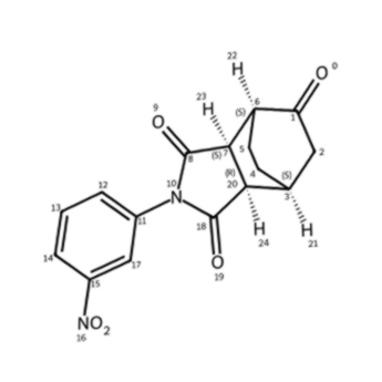 O=C1C[C@@H]2CC[C@H]1[C@@H]1C(=O)N(c3cccc([N+](=O)[O-])c3)C(=O)[C@H]21